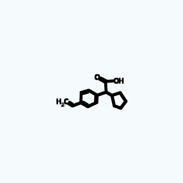 C=Cc1ccc(C(C(=O)O)C2CCCC2)cc1